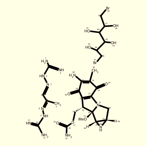 CC(/C=N/NC(=N)N)=N\NC(=N)N.CO[C@@]12[C@H](COC(N)=O)C3=C(C(=O)C(C)=C(N)C3=O)N1C[C@@H]1N[C@@H]12.OC(CBr)C(O)C(O)C(O)CBr